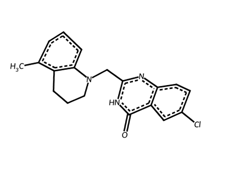 Cc1cccc2c1CCCN2Cc1nc2ccc(Cl)cc2c(=O)[nH]1